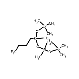 C[Si](C)(C)O[Si](C)(C)O[Si](C)(CCCC(F)(F)F)O[Si](C)(C)C